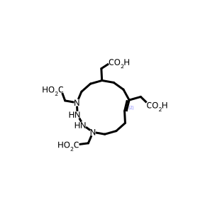 O=C(O)C/C1=C\CCCN(CC(=O)O)NNN(CC(=O)O)CCC(CC(=O)O)CC1